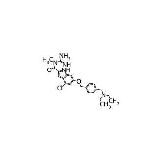 CCN(CC)Cc1ccc(COc2cc(Cl)c3cc(C(=O)N(C)C(=N)N)[nH]c3c2)cc1